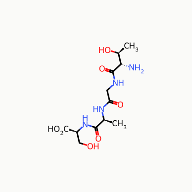 C[C@H](NC(=O)CNC(=O)[C@@H](N)[C@H](C)O)C(=O)N[C@@H](CO)C(=O)O